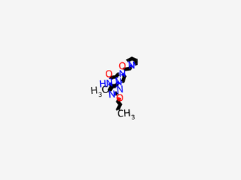 CCCCOc1nc(C)c2c(n1)N1CCN(C(=O)CN3CCCC3)CC1C(=O)N2